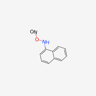 O=NONc1cccc2ccccc12